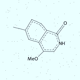 COc1c[nH]c(=O)c2ccc(C)cc12